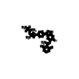 CN(CC1(C)CN(c2ccc(-c3n[nH]c4cc(F)c(O[C@H](N)c5c(Cl)cncc5Cl)cc34)cn2)C1)S(C)(=O)=O